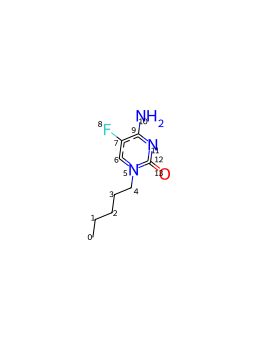 CCCCCn1cc(F)c(N)nc1=O